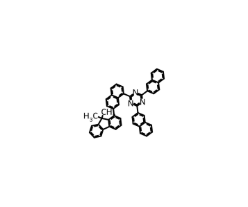 CC1(C)c2ccccc2-c2cccc(-c3ccc4cccc(-c5nc(-c6ccc7ccccc7c6)nc(-c6ccc7ccccc7c6)n5)c4c3)c21